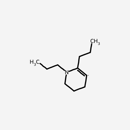 CCCC1=[C]CCCN1CCC